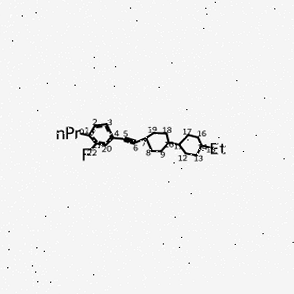 CCCc1ccc(C#CC2CCC(C3CCC(CC)CC3)CC2)cc1F